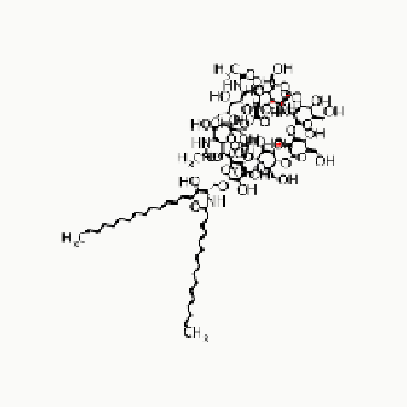 CCCCCCCCCCCCC/C=C/[C@@H](O)[C@H](CO[C@@H]1OC(CO)[C@@H](O[C@@H]2OC(CO)[C@H](O[C@@H]3OC(CO)[C@H](O)[C@H](O[C@@H]4OC(CO)[C@H](O)[C@H](O[C@@H]5OC(CO)[C@H](O)[C@H](O[C@]6(C(=O)O)CC(O)[C@@H](NC(C)=O)C([C@H](O)[C@@H](CO)O[C@]7(C(=O)O)CC(O)[C@@H](NC(C)=O)C([C@H](O)[C@H](O)CO)O7)O6)C5O)C4NC(C)=O)C3O)[C@H](O)C2O)[C@H](O)C1O)NC(=O)CCCCCCCCCCCCCCC